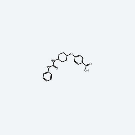 O=C(Nc1ccccc1)NC1CCC(Oc2ccc(C(=O)O)cc2)CC1